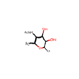 CCC1OC(C(C)=O)C(NC(C)=O)C(O)C1O